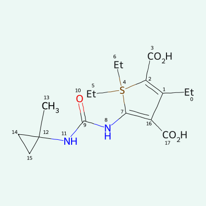 CCC1=C(C(=O)O)S(CC)(CC)C(NC(=O)NC2(C)CC2)=C1C(=O)O